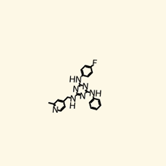 Cc1cc(CNc2nc(Nc3ccccc3)nc(Nc3ccc(F)cc3)n2)ccn1